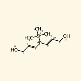 C[Si](C)(C)P(/C=C/CO)/C=C/CO